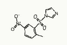 Cc1ccc([N+](=O)[O-])cc1S(=O)(=O)n1ccnc1